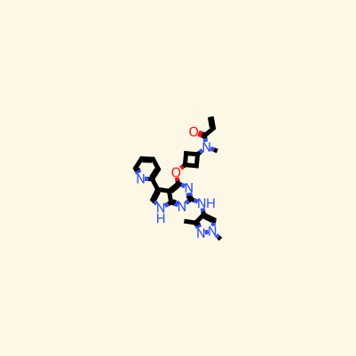 C=CC(=O)N(C)C1CC(Oc2nc(Nc3cn(C)nc3C)nc3[nH]cc(-c4ccccn4)c23)C1